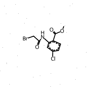 COC(=O)c1ccc(Cl)cc1NC(=O)CBr